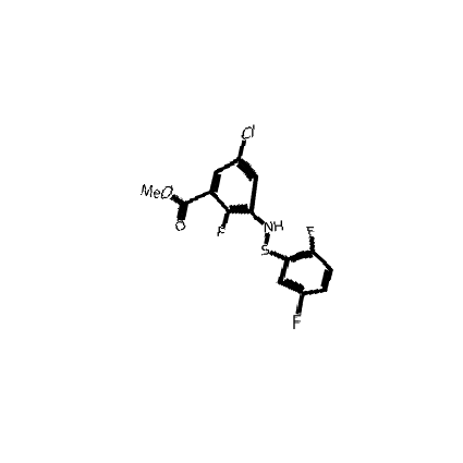 COC(=O)c1cc(Cl)cc(NSc2cc(F)ccc2F)c1F